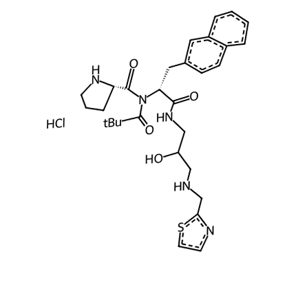 CC(C)(C)C(=O)N(C(=O)[C@@H]1CCCN1)[C@H](Cc1ccc2ccccc2c1)C(=O)NCC(O)CNCc1nccs1.Cl